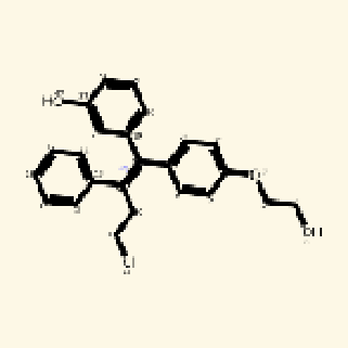 OCCOc1ccc(/C(=C(\CCCl)c2ccccc2)c2cccc(O)c2)cc1